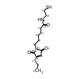 CCSC1=CC(=O)N(CCCCCC(=O)NCCS)C1=O